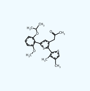 COc1cccc(OC(C)C)c1-c1cc(CC(C)=O)c(-c2scc(C)c2C)s1